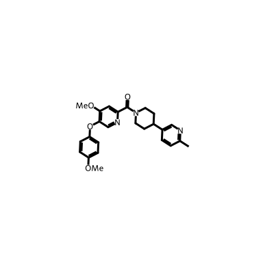 COc1ccc(Oc2cnc(C(=O)N3CCC(c4ccc(C)nc4)CC3)cc2OC)cc1